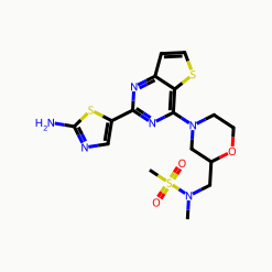 CN(CC1CN(c2nc(-c3cnc(N)s3)nc3ccsc23)CCO1)S(C)(=O)=O